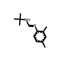 Cc1ccc(N=CNC(C)(C)C)c(C)c1